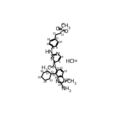 CN(c1ccnc(Nc2ccc(CCS(C)(=O)=O)cc2)n1)c1ccc2c(nc(N)n2C)c1C1CCCCC1.Cl